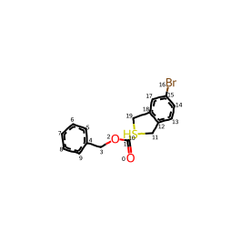 O=C(OCc1ccccc1)[SH]1Cc2ccc(Br)cc2C1